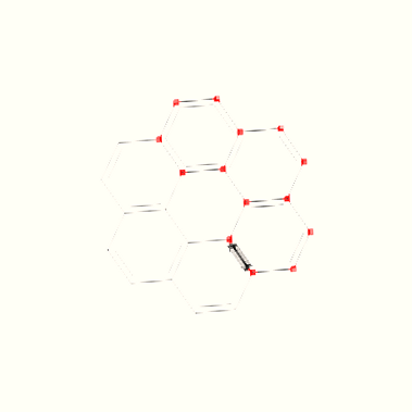 c1ccc2c(c1)ccc1ccc3ccc4ccc5ccc6ccc7ccc8ccc9ccccc9c8c7c6c5c4c3c12